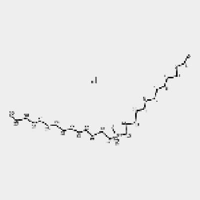 CCCCCCCCCCCCCC[P+](C)(C)CCCCCCCCCCCCCC.[I-]